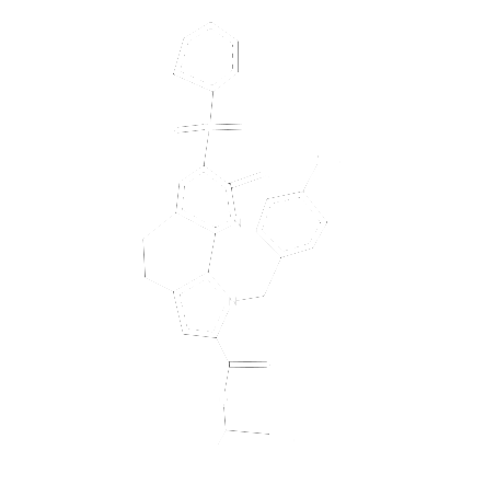 Cc1ccc(Cn2c(C(=O)OC(C)C)cc3c2-c2[nH]c(=O)c(S(=O)(=O)c4ccccc4)cc2CC3)cc1